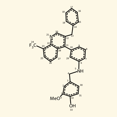 COc1cc(CNc2cccc(-c3c(Cc4ccccc4)cnc4c(C(F)(F)F)cccc34)c2)ccc1O